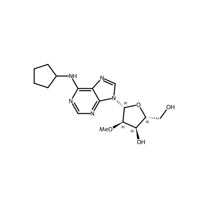 CO[C@@H]1[C@H](O)[C@@H](CO)O[C@H]1n1cnc2c(NC3CCCC3)ncnc21